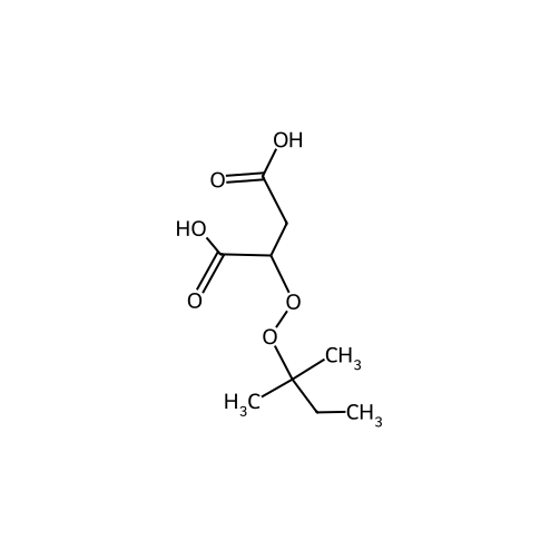 CCC(C)(C)OOC(CC(=O)O)C(=O)O